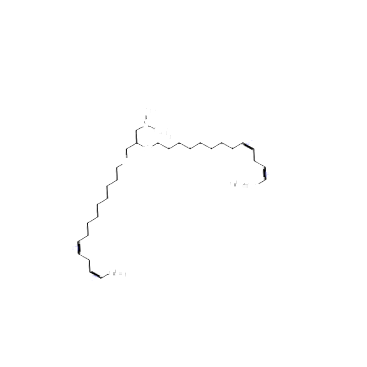 CCCC/C=C\C/C=C\CCCCCCCCOCC(CN(C)C)OCCCCCCCC/C=C\C/C=C\CCCCC